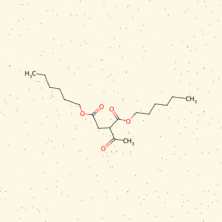 CCCCCCOC(=O)CC(C(C)=O)C(=O)OCCCCCC